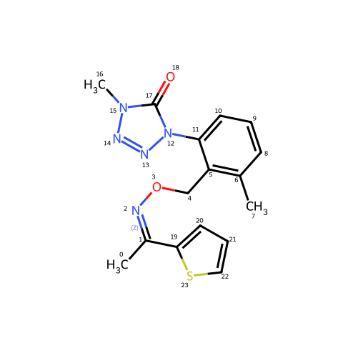 C/C(=N/OCc1c(C)cccc1-n1nnn(C)c1=O)c1cccs1